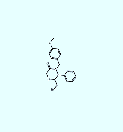 COc1ccc(CN2C(=O)COC(CBr)C2c2ccccc2)cc1